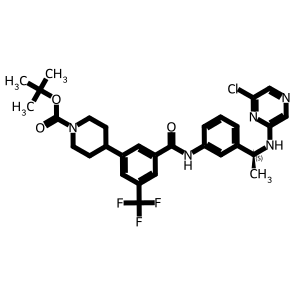 C[C@H](Nc1cncc(Cl)n1)c1cccc(NC(=O)c2cc(C3CCN(C(=O)OC(C)(C)C)CC3)cc(C(F)(F)F)c2)c1